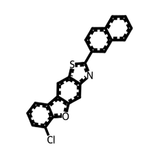 Clc1cccc2c1oc1cc3nc(-c4ccc5ccccc5c4)sc3cc12